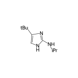 CC(C)Nc1nc(C(C)(C)C)c[nH]1